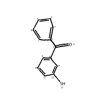 O=C(c1ccccc1)c1cccc(S)c1